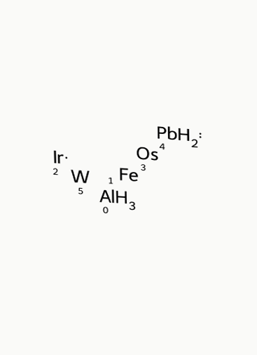 [AlH3].[Fe].[Ir].[Os].[PbH2].[W]